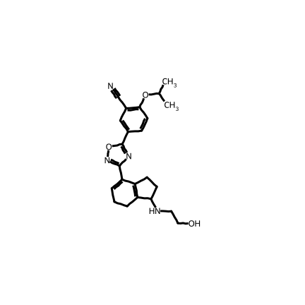 CC(C)Oc1ccc(-c2nc(C3=CCCC4=C3CCC4NCCO)no2)cc1C#N